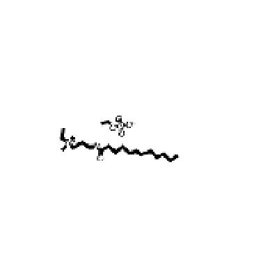 CCCCCCCCCCCC(=O)N=CCC[N+](C)(C)CC.CCOS(=O)(=O)[O-]